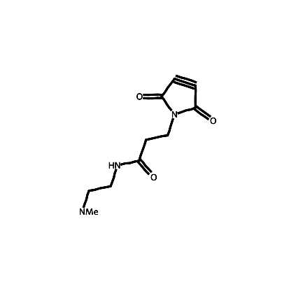 CNCCNC(=O)CCN1C(=O)C#CC1=O